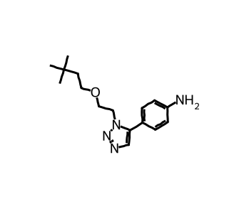 CC(C)(C)CCOCCn1nncc1-c1ccc(N)cc1